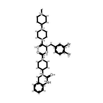 CN1CCC(N2CCN(C(=O)[C@@H](Cc3ccc(Br)c(Br)c3)OC(=O)N3CCC(N4Cc5ccccc5NC4=O)CC3)CC2)CC1